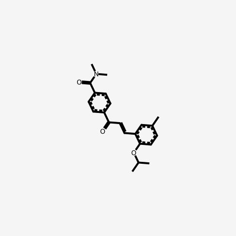 Cc1ccc(OC(C)C)c(C=CC(=O)c2ccc(C(=O)N(C)C)cc2)c1